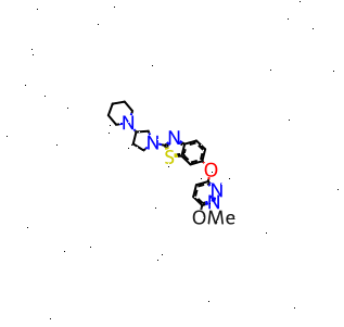 COc1ccc(Oc2ccc3nc(N4CCC(N5CCCCC5)C4)sc3c2)nn1